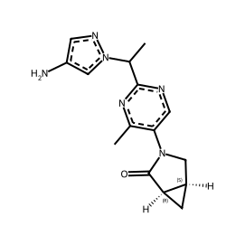 Cc1nc(C(C)n2cc(N)cn2)ncc1N1C[C@H]2C[C@H]2C1=O